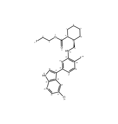 O=C(OCCF)N1CCCC[C@H]1CNc1nc(-c2c[nH]c3ncc(Cl)cc23)ncc1F